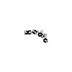 C[C@H]1CC2(CCN(c3cnc(Sc4ccc5nc(Oc6cccnc6)[nH]c5c4Cl)cn3)CC2)CO1